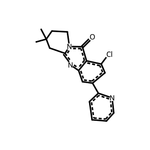 CC1(C)CCn2c(nc3cc(-c4ccccn4)cc(Cl)c3c2=O)C1